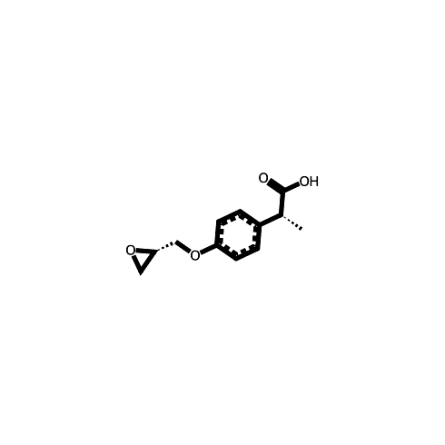 C[C@@H](C(=O)O)c1ccc(OC[C@@H]2CO2)cc1